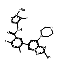 Cc1cc(F)c(C(=O)Nc2cnn(C(C)(C)C)c2F)cc1-c1cc(N2CCOCC2)c2nc(C(C)C)nn2c1